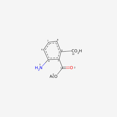 CC(=O)OC(=O)c1c(N)cccc1C(=O)O